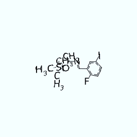 C=C(/N=C/c1cc(I)ccc1F)O[Si](C)(C)C